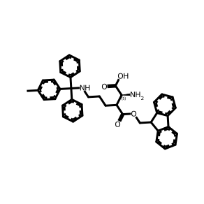 Cc1ccc(C(NCCCC(C(=O)OCC2c3ccccc3-c3ccccc32)[C@H](N)C(=O)O)(c2ccccc2)c2ccccc2)cc1